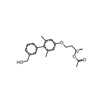 CC(=O)O[C@H](C)CCOc1cc(C)c(-c2cccc(CO)c2)c(C)c1